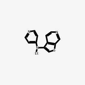 CCN(c1ccncc1)c1csc2cnccc12